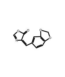 O=C1OC=NC1=Cc1ccc2c(c1)OCO2